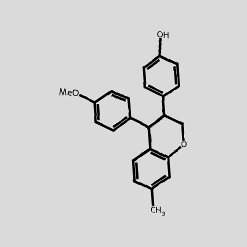 COc1ccc(C2c3ccc(C)cc3OCC2c2ccc(O)cc2)cc1